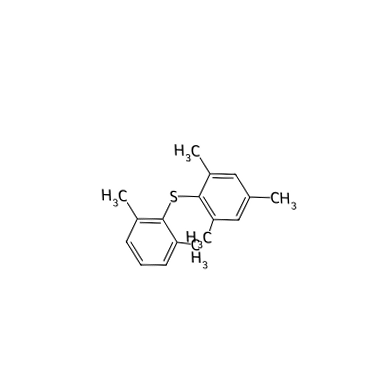 Cc1cc(C)c(Sc2c(C)cccc2C)c(C)c1